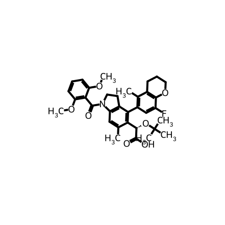 COc1cccc(OC)c1C(=O)N1CCc2c1cc(C)c([C@H](OC(C)(C)C)C(=O)O)c2-c1cc(F)c2c(c1C)CCCO2